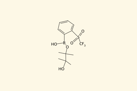 CC(C)(O)C(C)(C)OB(O)c1ccccc1S(=O)(=O)C(F)(F)F